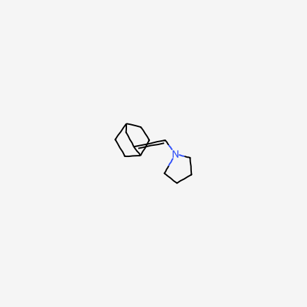 C(=C1\CC2CCC1CC2)/N1CCCC1